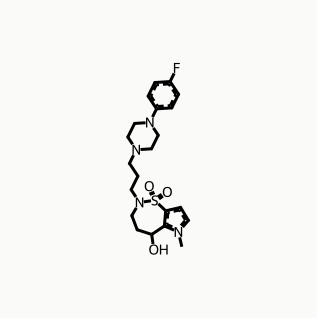 Cn1ccc2c1C(O)CCN(CCCN1CCN(c3ccc(F)cc3)CC1)S2(=O)=O